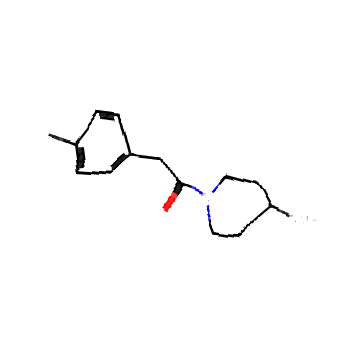 CNC1CCN(C(=O)Cc2ccc(C(F)(F)F)cc2)CC1